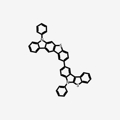 c1ccc(-n2c3ccccc3c3cc4c(cc32)sc2ccc(-c3ccc5c(c3)c3c6ccccc6sc3n5-c3ccccc3)cc24)cc1